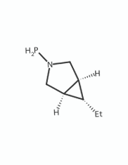 CC[C@@H]1[C@H]2CN(P)C[C@@H]12